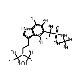 [2H]c1c(C([2H])([2H])S(=O)(=O)NC([2H])([2H])[2H])c([2H])c2c(CCN(C([2H])([2H])[2H])C([2H])([2H])[2H])c[nH]c2c1[2H]